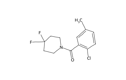 Cc1ccc(Cl)c(C(=O)N2CCC(F)(F)CC2)c1